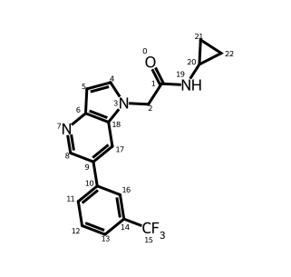 O=C(Cn1ccc2ncc(-c3cccc(C(F)(F)F)c3)cc21)NC1CC1